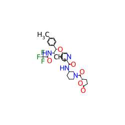 Cc1ccc(C(Oc2ccc(C(=O)N[C@@H]3CCCN(C(=O)[C@H]4CCC(=O)O4)C3)nc2)C(C)NC(=O)C(F)(F)F)cc1